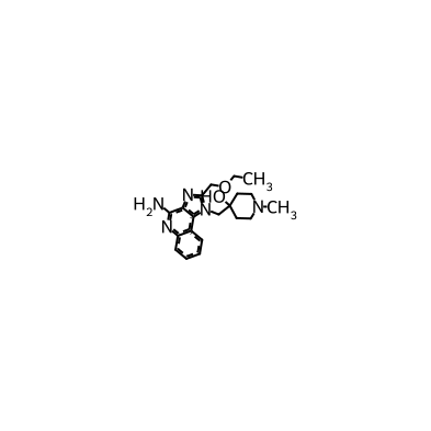 CCOCc1nc2c(N)nc3ccccc3c2n1CC1(O)CCN(C)CC1